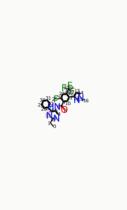 CCc1ncc(NC(=O)c2cc(-c3ccn(C)n3)c(C(F)(F)F)cc2F)c(-c2ccccc2)n1